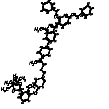 Cc1c(OC2CCC(CCC[C@H](C)N3CCN(c4ccc5c(-c6ccc(OCc7ccccc7)nc6OCc6ccccc6)nn(C)c5c4)CC3)CC2)cccc1B1OC(C)(C)C(C)(C)O1